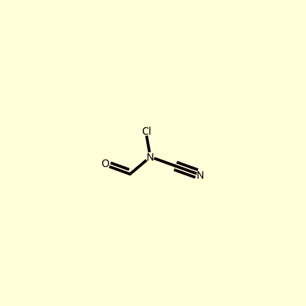 N#CN(Cl)C=O